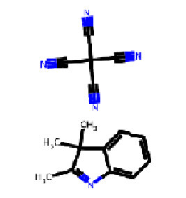 CC1=Nc2ccccc2C1(C)C.N#CC(C#N)(C#N)C#N